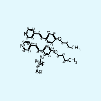 CCCCOc1ccc(C=Cc2ccncc2)cc1.CCCCOc1ccc(C=Cc2ccncc2)cc1.F[B-](F)(F)F.[Ag]